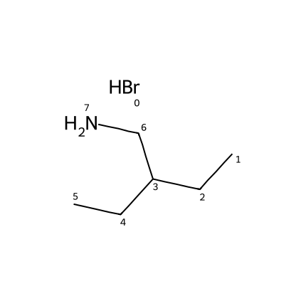 Br.CCC(CC)CN